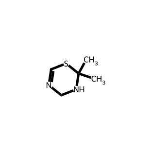 CC1(C)NCN=CS1